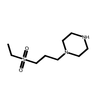 CCS(=O)(=O)CCCN1CCNCC1